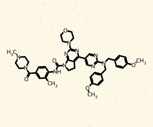 COc1ccc(CN(Cc2ccc(OC)cc2)c2ncc(-c3nc(N4CCOCC4)nc4c3CCN4C(=O)Nc3ccc(C(=O)N4CCN(C)CC4)cc3C)cn2)cc1